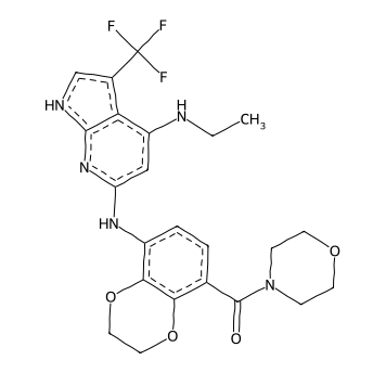 CCNc1cc(Nc2ccc(C(=O)N3CCOCC3)c3c2OCCO3)nc2[nH]cc(C(F)(F)F)c12